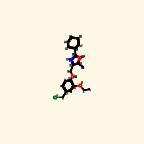 CCOc1cc(CCl)ccc1OCc1nc(-c2ccccc2)oc1C